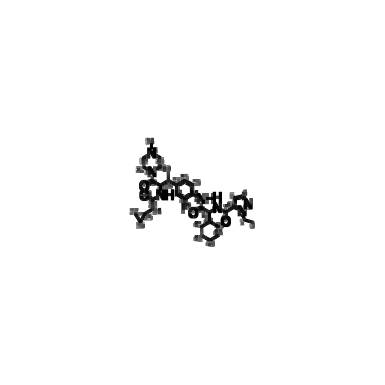 CCn1nccc1C(=O)NC(C(=O)Nc1ccc(C(C)C(NC(=O)CC2CC2)C(=O)N2CCN(C)CC2)cc1F)C1CCCCC1